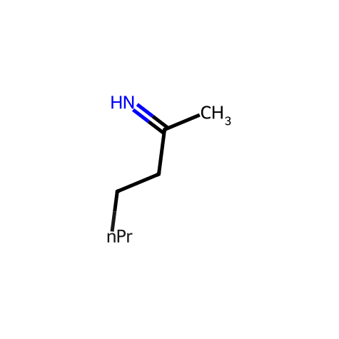 [CH2]CCCCC(C)=N